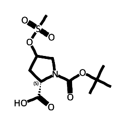 CC(C)(C)OC(=O)N1CC(OS(C)(=O)=O)C[C@H]1C(=O)O